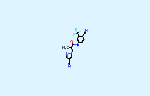 C=C(Cn1cc(C#N)cn1)C(=O)Nc1ccc(C#N)c(C(F)(F)F)c1